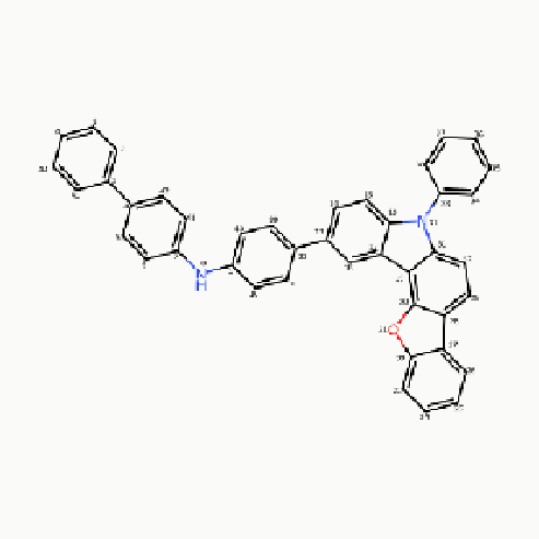 c1ccc(-c2ccc(Nc3ccc(-c4ccc5c(c4)c4c6oc7ccccc7c6ccc4n5-c4ccccc4)cc3)cc2)cc1